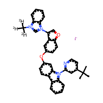 [2H]C([2H])([2H])[n+]1cn(-c2coc3ccc(Oc4ccc5c6ccccc6n(-c6cc(C(C)(C)C)ccn6)c5c4)cc23)c2ccccc21.[I-]